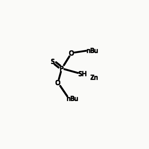 CCCCOP(=S)(S)OCCCC.[Zn]